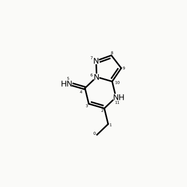 CCc1cc(=N)n2nccc2[nH]1